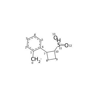 [CH2]c1ccccc1C1CCC1[SH](=O)=O